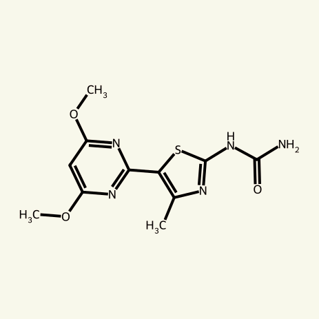 COc1cc(OC)nc(-c2sc(NC(N)=O)nc2C)n1